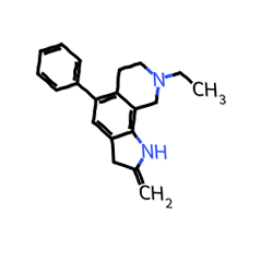 C=C1Cc2cc(-c3ccccc3)c3c(c2N1)CN(CC)CC3